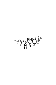 CCOC(=O)CC(=N)N(N)C(=O)c1ccc(C(C)(C)C)cc1